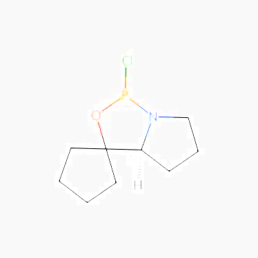 ClP1OC2(CCCC2)[C@@H]2CCCN21